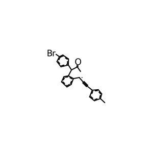 CC(=O)C(c1ccc(Br)cc1)c1ccccc1[CH]C#Cc1ccc(C)cc1